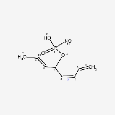 C=C/C=C\C(C=CC)OP(=O)(O)N=O